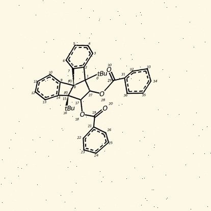 CC(C)(C)C12c3ccccc3[C@@]13c1ccccc1[C@@]3(C(C)(C)C)C(OC(=O)c1ccccc1)C2OC(=O)c1ccccc1